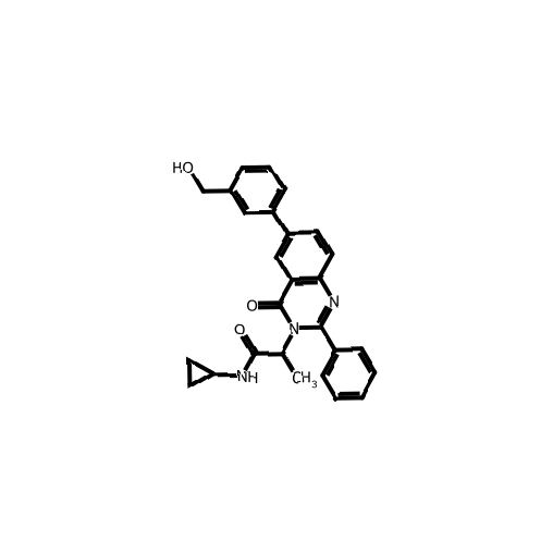 CC(C(=O)NC1CC1)n1c(-c2ccccc2)nc2ccc(-c3cccc(CO)c3)cc2c1=O